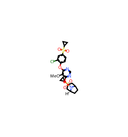 COc1c(Oc2ccc(S(=O)(=O)C3CC3)cc2Cl)ncnc1O[C@H]1CC2CC[C@@H](C1)N2S(=O)(=O)C1CC1